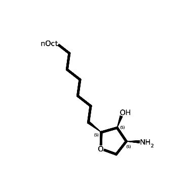 CCCCCCCCCCCCCC[C@@H]1OC[C@H](N)[C@@H]1O